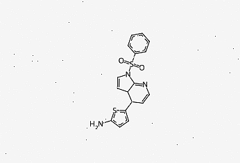 Nc1ccc(C2C=CN=C3C2C=CN3S(=O)(=O)c2ccccc2)s1